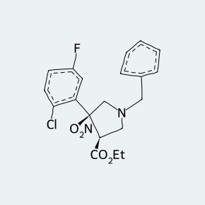 CCOC(=O)[C@@H]1CN(Cc2ccccc2)C[C@]1(c1cc(F)ccc1Cl)[N+](=O)[O-]